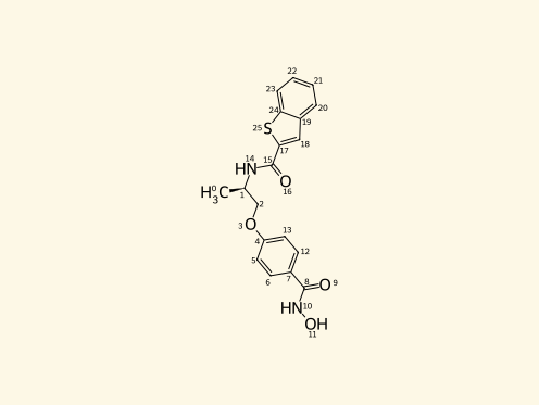 C[C@H](COc1ccc(C(=O)NO)cc1)NC(=O)c1cc2ccccc2s1